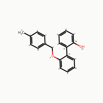 Cc1ccc(COc2ccccc2-c2ccccc2O)cc1